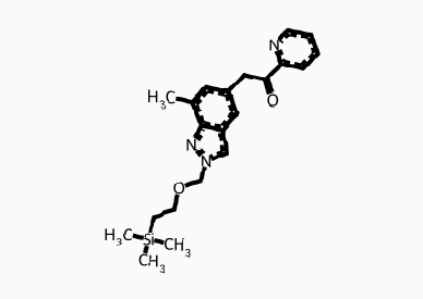 Cc1cc(CC(=O)c2ccccn2)cc2cn(COCC[Si](C)(C)C)nc12